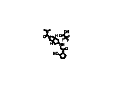 CN(C)C(=O)N1C[C@@H]2CC(NCC(=O)N3CCC[C@H]3C#N)C[C@H]2C1.O=C(O)C(F)(F)F